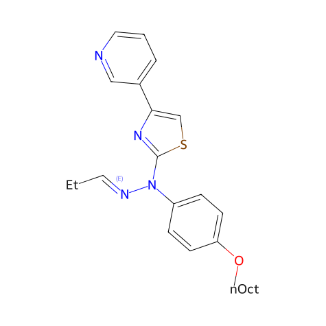 CC/C=N/N(c1ccc(OCCCCCCCC)cc1)c1nc(-c2cccnc2)cs1